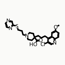 COc1ccc2ncc(Cl)c(CCCC3(C(=O)O)CCN(CCCSc4cnccn4)CC3)c2c1